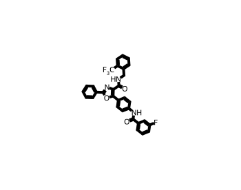 O=C(Nc1ccc(-c2oc(-c3ccccc3)nc2C(=O)NCc2ccccc2C(F)(F)F)cc1)c1cccc(F)c1